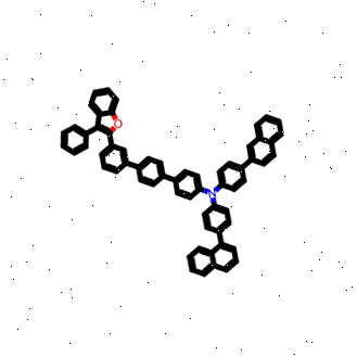 c1ccc(-c2c(-c3cccc(-c4ccc(-c5ccc(N(c6ccc(-c7ccc8ccccc8c7)cc6)c6ccc(-c7cccc8ccccc78)cc6)cc5)cc4)c3)oc3ccccc23)cc1